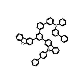 c1ccc(-c2ccc(-n3c4ccccc4c4ccc(-c5cc(-c6cccc(-c7cccc(N(c8ccccc8)c8cccc(-c9ccccc9)c8)c7)c6)cc(-c6ccc7oc8ccccc8c7c6)c5)cc43)cc2)cc1